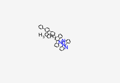 CC1(C)c2cc(-c3ccccc3)ccc2-c2ccc(-c3cc4c5ccccc5n(-c5nc6ccccc6c6nc7ccccc7n56)c4c4ccccc34)cc21